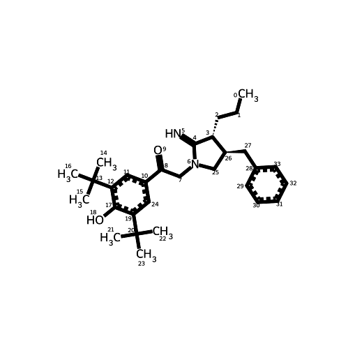 CCC[C@H]1C(=N)N(CC(=O)c2cc(C(C)(C)C)c(O)c(C(C)(C)C)c2)C[C@@H]1Cc1ccccc1